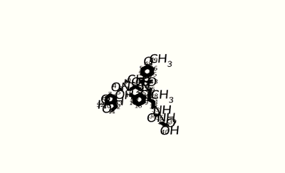 CCN(C(=O)O[C@@H]1CO[C@@H]2OCC[C@@H]21)[C@@H](Cc1ccccc1)[C@H](O)CN(CC(C)(C)CCCNC(=O)NCC(=O)O)S(=O)(=O)c1ccc(OC)cc1